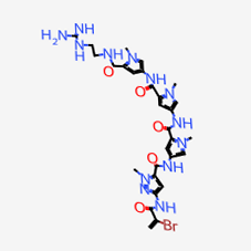 C=C(Br)C(=O)Nc1cc(C(=O)Nc2cc(C(=O)Nc3cc(C(=O)Nc4cc(C(=O)NCCNC(=N)N)n(C)c4)n(C)c3)n(C)c2)n(C)n1